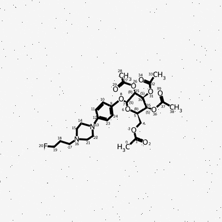 CC(=O)OC[C@H]1O[C@@H](Oc2ccc(N3CCN(CCCF)CC3)cc2)[C@H](OC(C)=O)[C@@H](OC(C)=O)[C@H]1OC(C)=O